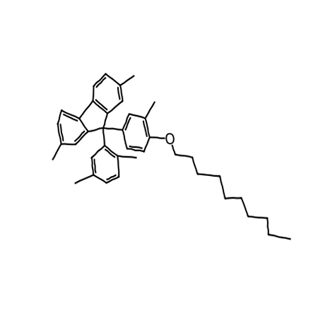 CCCCCCCCCCOc1ccc(C2(c3cc(C)ccc3C)c3cc(C)ccc3-c3ccc(C)cc32)cc1C